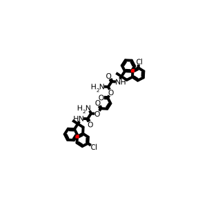 CC(Cc1cccc(Cl)c1)(NC(=O)C(N)OC(=O)/C=C\C(=O)OC(N)C(=O)NC(C)(Cc1cccc(Cl)c1)c1ccccc1)c1ccccc1